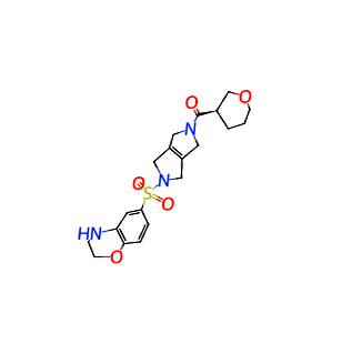 O=C([C@@H]1CCCOC1)N1CC2=C(C1)CN(S(=O)(=O)c1ccc3c(c1)NCCO3)C2